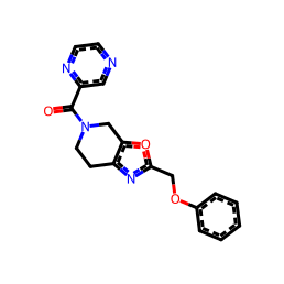 O=C(c1cnccn1)N1CCc2nc(COc3ccccc3)oc2C1